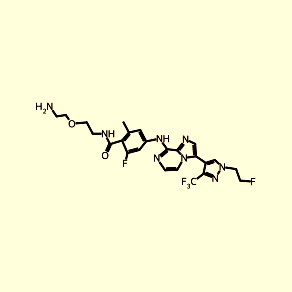 Cc1cc(Nc2nccn3c(-c4cn(CCF)nc4C(F)(F)F)cnc23)cc(F)c1C(=O)NCCOCCN